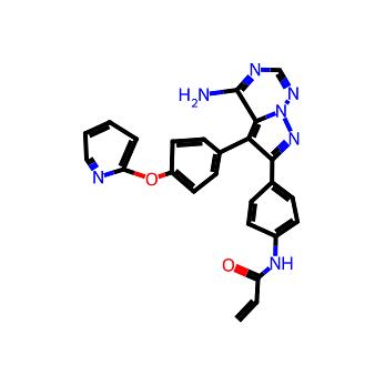 C=CC(=O)Nc1ccc(-c2nn3ncnc(N)c3c2-c2ccc(Oc3ccccn3)cc2)cc1